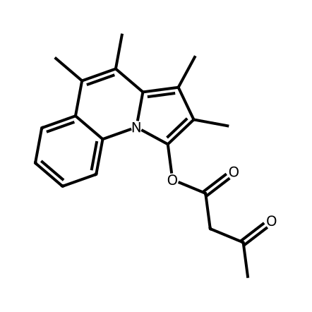 CC(=O)CC(=O)Oc1c(C)c(C)c2c(C)c(C)c3ccccc3n12